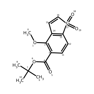 COc1c(C(=O)OC(C)(C)C)ccc2c1C=CS2(=O)=O